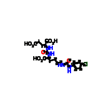 O=C(O)CC[C@H](NC(=O)N[C@@H](CCCCNC(=O)Nc1ccc(Cl)cc1)C(=O)O)C(=O)O